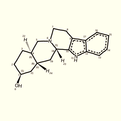 O[C@H]1CC[C@H]2CN3CCc4c([nH]c5ccccc45)[C@@H]3C[C@@H]2C1